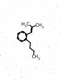 CCCCc1ccccc1C=C(C)C